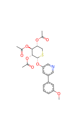 COc1cccc(-c2cncc(O[C@H]3SC[C@@H](OC(C)=O)[C@H](OC(C)=O)[C@H]3OC(C)=O)c2)c1